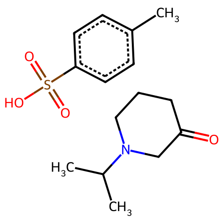 CC(C)N1CCCC(=O)C1.Cc1ccc(S(=O)(=O)O)cc1